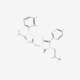 C[C@H](O)c1nc(Cn2c(Cl)c(-c3ccc(Cl)cc3)n(CC(O)C(F)(F)F)c2=O)nn1-c1cccc(Cl)c1Cl